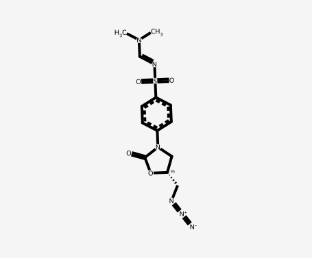 CN(C)C=NS(=O)(=O)c1ccc(N2C[C@H](CN=[N+]=[N-])OC2=O)cc1